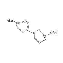 CCCCc1ccc(N2C=CC=C(O)C2)cc1